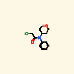 O=C(CCl)N(c1ccccc1)C1CCOCC1